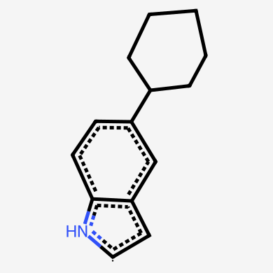 [c]1cc2cc(C3CCCCC3)ccc2[nH]1